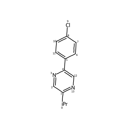 CC(C)c1cnc(-c2ccc(Cl)cc2)cn1